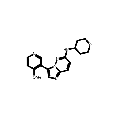 COc1ccncc1-c1cnc2ccc(NC3CCOCC3)nn12